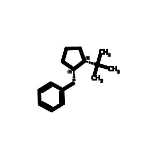 CC(C)(C)[C@H]1CCC[C@H]1Cc1ccccc1